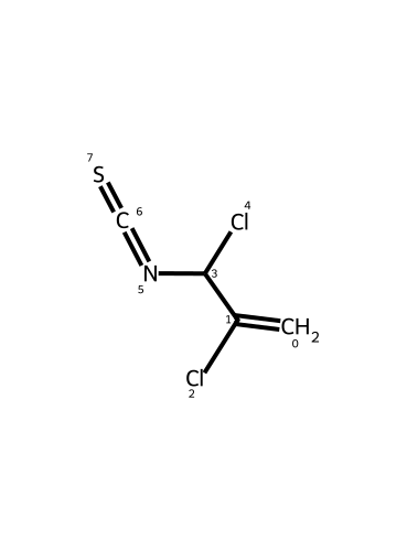 C=C(Cl)C(Cl)N=C=S